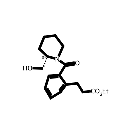 CCOC(=O)CCc1ccccc1C(=O)N1CCCC[C@H]1CO